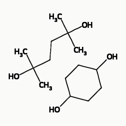 CC(C)(O)CCC(C)(C)O.OC1CCC(O)CC1